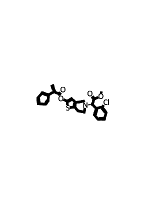 C=C(C(=O)Oc1cc2c(s1)CCN([C@H](C(=O)OC)c1ccccc1Cl)C2)c1ccccc1